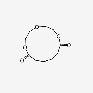 O=C1CCCCC(=O)OCCOCCO1